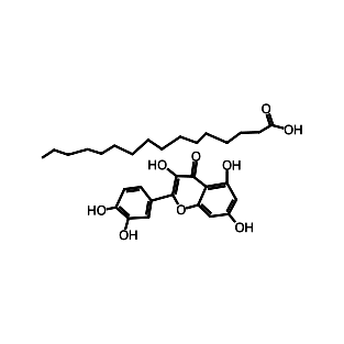 CCCCCCCCCCCCCCCC(=O)O.O=c1c(O)c(-c2ccc(O)c(O)c2)oc2cc(O)cc(O)c12